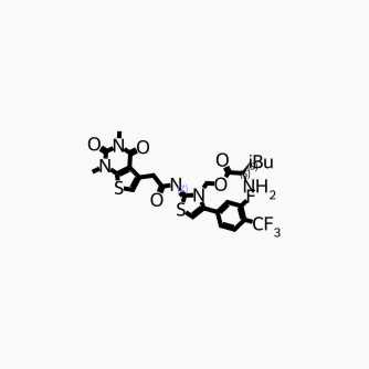 CC[C@H](C)[C@H](N)C(=O)OCn1c(-c2ccc(C(F)(F)F)c(F)c2)cs/c1=N\C(=O)Cc1csc2c1c(=O)n(C)c(=O)n2C